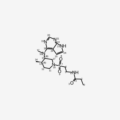 CCC(=O)NCCS(=O)(=O)N1CC[C@@H](C)[C@@H](N(C)c2ncnc3[nH]ccc23)C1